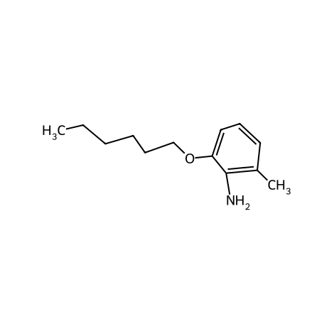 CCCCCCOc1cccc(C)c1N